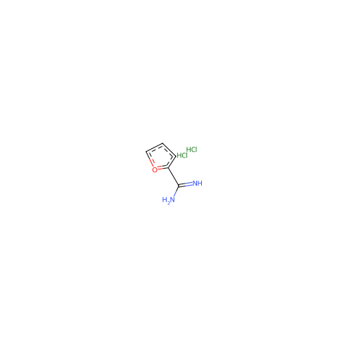 Cl.Cl.N=C(N)c1ccco1